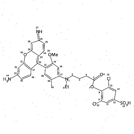 CCN(CCCC(=O)Oc1c(Cl)cc(S(=O)(=O)O)cc1Cl)c1cc(OC)c(-c2c3ccc(=N)cc-3oc3cc(N)ccc23)cc1C